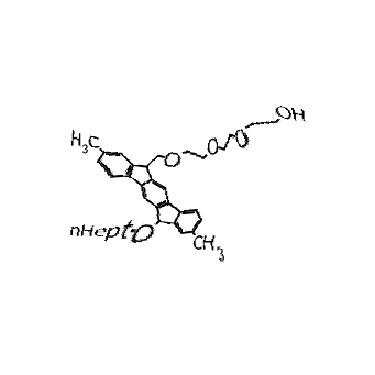 CCCCCCCOC1c2cc(C)ccc2-c2cc3c(cc21)-c1ccc(C)cc1C3COCCOCCOCCO